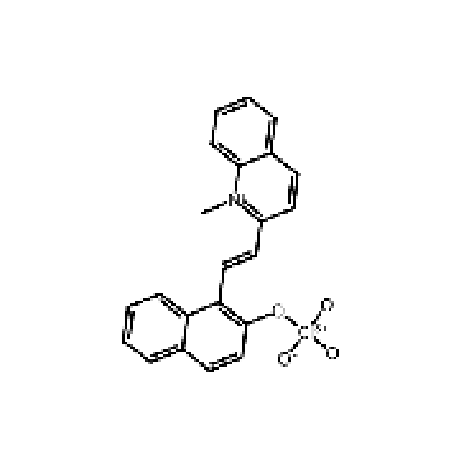 C[n+]1c(C=Cc2c(O[Cl+3]([O-])([O-])[O-])ccc3ccccc23)ccc2ccccc21